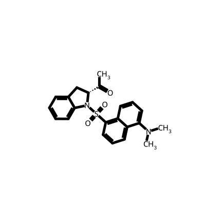 CC(=O)[C@H]1Cc2ccccc2N1S(=O)(=O)c1cccc2c(N(C)C)cccc12